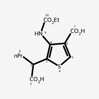 CCCC(C(=O)O)c1scc(C(=O)O)c1NC(=O)OCC